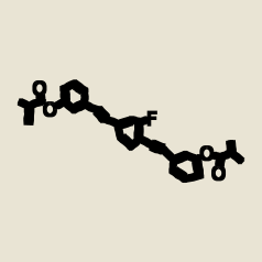 C=C(C)C(=O)Oc1cccc(C#Cc2ccc(C#Cc3cccc(OC(=O)C(=C)C)c3)c(F)c2)c1